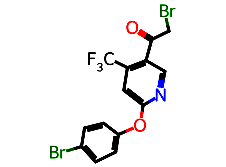 O=C(CBr)c1cnc(Oc2ccc(Br)cc2)cc1C(F)(F)F